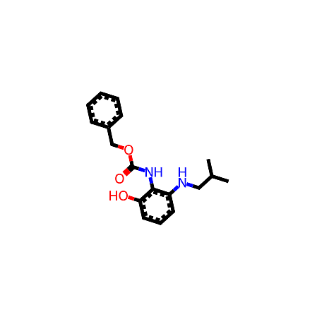 CC(C)CNc1cccc(O)c1NC(=O)OCc1ccccc1